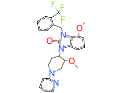 COc1cccc2c1n(Cc1ccccc1C(F)(F)F)c(=O)n2C1CCN(c2ccccn2)CC1OC